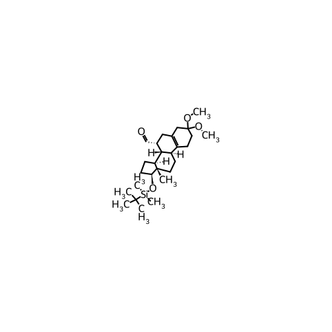 COC1(OC)CCC2=C(C[C@@H](C=O)[C@@H]3[C@@H]2CC[C@]2(C)[C@@H](O[Si](C)(C)C(C)(C)C)CC[C@@H]32)C1